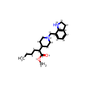 BOC(=O)C(CCCC)C1CCN(Cc2cccc3c2NCC3)CC1